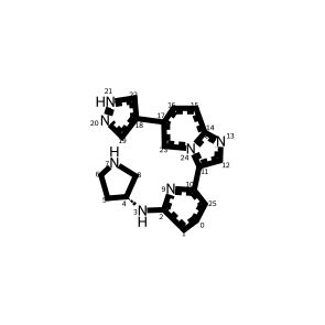 c1cc(N[C@@H]2CCNC2)nc(-c2cnc3ccc(-c4cn[nH]c4)cn23)c1